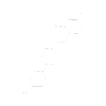 CCCCC1CCC(C2CCC(COc3ccc(F)c(F)c3F)CC2)CC1